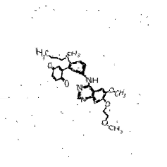 CCCCN(C)c1ccc(Nc2ncnc3cc(OCCOC)c(OC)cc23)cc1C1=CC(=O)C=CC1=O